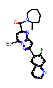 CCc1cc(C(=O)N2CCCCCC2C)nc2cc(-c3cc4cccnc4cc3F)nn12